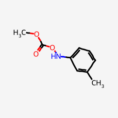 COC(=O)ONc1cccc(C)c1